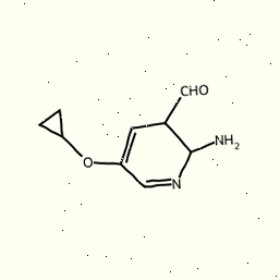 NC1N=CC(OC2CC2)=CC1C=O